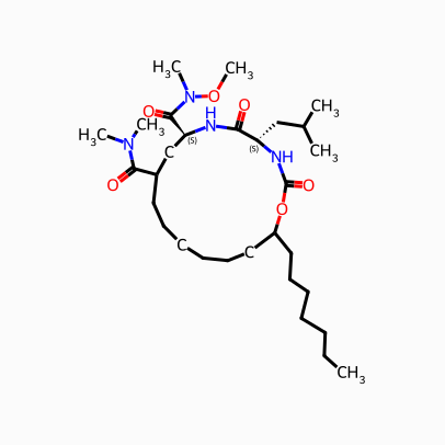 CCCCCCCC1CCCCCCC(C(=O)N(C)C)C[C@@H](C(=O)N(C)OC)NC(=O)[C@H](CC(C)C)NC(=O)O1